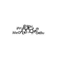 COC(=O)[C@H](C(C)C)N(C)C(=O)N(C)[C@H]1CCN(C(=O)OC(C)(C)C)C1